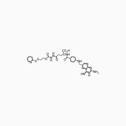 N=c1[nH]c(N)nc2ncc(CNc3ccc(C(=O)N[C@@H](CCC(=O)NNC(=O)OCCSSc4ccccn4)C(=O)O)cc3)nc12